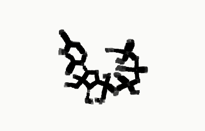 CC(C)(OP(=O)(O)OP(=O)(O)OP(=O)(O)O)C1O[C@@H](n2ncc(=O)[nH]c2=O)C(F)(CF)[C@H]1O